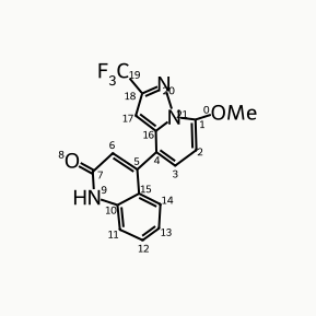 COc1ccc(-c2cc(=O)[nH]c3ccccc23)c2cc(C(F)(F)F)nn12